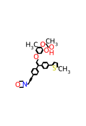 Cc1ccc(-c2ccc(/C(=C\COc3ccc(OC(C)C(=O)O)c(C)c3)c3ccc(C#CCN4CCOCC4)cc3)cc2)s1